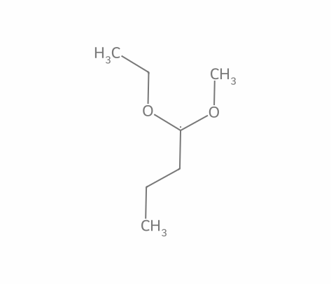 CCC[C](OC)OCC